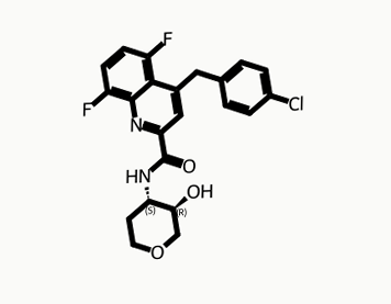 O=C(N[C@H]1CCOC[C@@H]1O)c1cc(Cc2ccc(Cl)cc2)c2c(F)ccc(F)c2n1